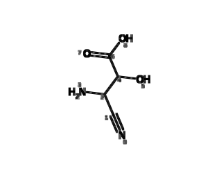 N#CC(N)C(O)C(=O)O